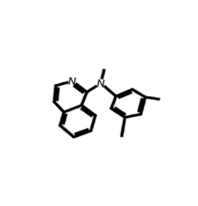 Cc1cc(C)cc(N(C)c2nccc3ccccc23)c1